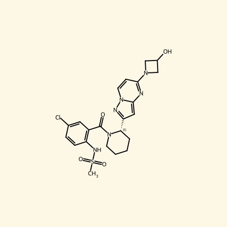 CS(=O)(=O)Nc1ccc(Cl)cc1C(=O)N1CCCC[C@H]1c1cc2nc(N3CC(O)C3)ccn2n1